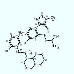 CC(O)COc1cc(F)c(Nc2ncc(F)c(NC[C@@H]3CCCN4CCCC[C@H]34)n2)cc1-n1nnn(C)c1=O